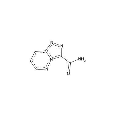 NC(=O)c1nnc2cccnn12